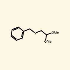 COC(CSCc1ccccc1)OC